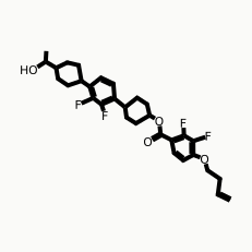 C=CCCOc1ccc(C(=O)OC2CCC(c3ccc(C4CCC(C(C)O)CC4)c(F)c3F)CC2)c(F)c1F